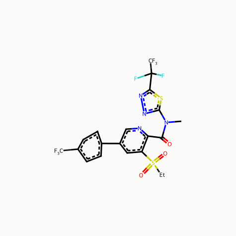 CCS(=O)(=O)c1cc(-c2ccc(C(F)(F)F)cc2)cnc1C(=O)N(C)c1nnc(C(F)(F)C(F)(F)F)s1